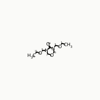 CCOCN1COCN(COCC)C1=O